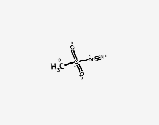 CS(=O)(=O)[N+]#N